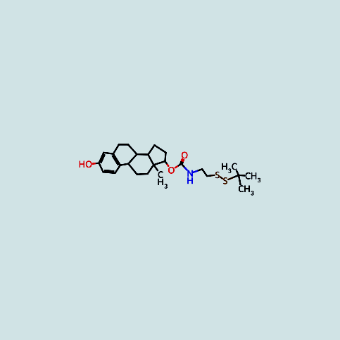 CC(C)(C)SSCCNC(=O)OC1CCC2C3CCc4cc(O)ccc4C3CCC12C